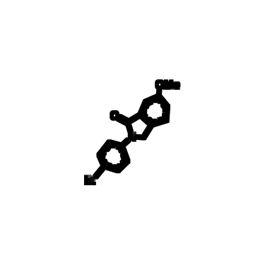 CCc1ccc(N2Cc3ccc(OC)cc3C2=O)cc1